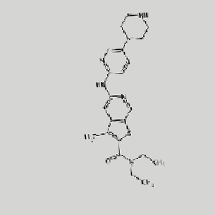 CCN(CC)C(=O)c1sc2cnc(Nc3ccc(N4CCNCC4)cn3)cc2c1C